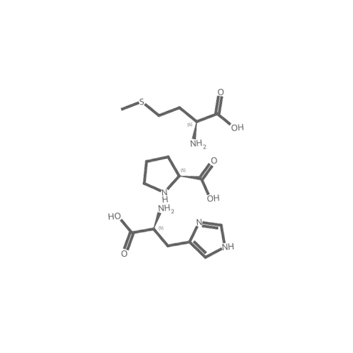 CSCC[C@H](N)C(=O)O.N[C@@H](Cc1c[nH]cn1)C(=O)O.O=C(O)[C@@H]1CCCN1